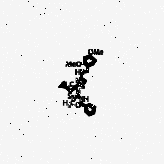 COc1ccc(CNc2csc(C3(C)N=C(NC(=O)c4ccccc4)N(C)SC3C3CC3)n2)c(OC)c1